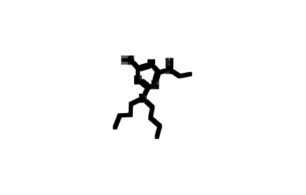 CCCCN(CCCC)c1nc(S)nc(NCC)n1